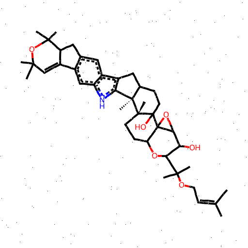 CC(C)=CCOC(C)(C)C1OC2CC[C@@]3(C)C(O)(CCC4Cc5c([nH]c6cc7c(cc56)CC5C7=CC(C)(C)OC5(C)C)[C@@]43C)C23OC3C1O